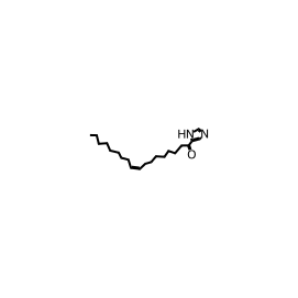 CCCCCCCC/C=C\CCCCCCCC(=O)c1cnc[nH]1